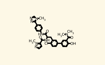 CN(C)C(=O)c1cc(-c2ccc(Cl)c(CC(NC(=O)c3ccnn3C)C(=O)Nc3ccc(-c4nncn4C)cc3)c2)ccc1O